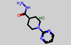 Cl.NNC(=O)C1CCN(c2ncccn2)CC1